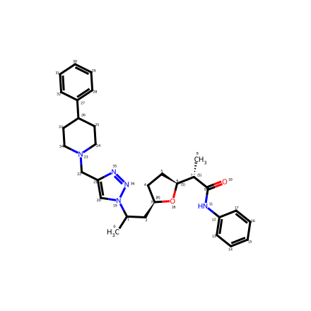 CC(C[C@H]1CC[C@@H]([C@H](C)C(=O)Nc2ccccc2)O1)n1cc(CN2CCC(c3ccccc3)CC2)nn1